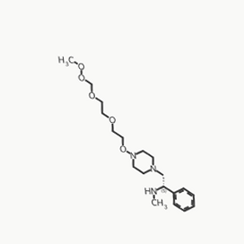 CN[C@H](CN1CCN(OCCOCCOCOOC)CC1)c1ccccc1